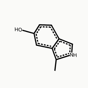 Cc1[nH]cc2ccc(O)cc12